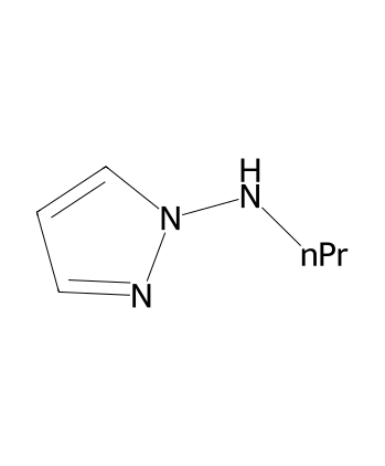 CCCNn1cccn1